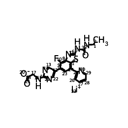 CCNC(=O)Nc1nc2c(F)c(-c3cnc(NCC(=O)[O-])nc3)cc(-c3ccccn3)c2s1.[Li+]